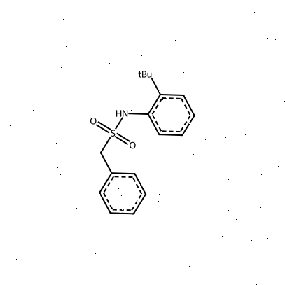 CC(C)(C)c1ccccc1NS(=O)(=O)Cc1ccccc1